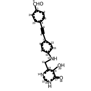 O=Cc1ccc(C#Cc2ccc(NCc3nc[nH]c(=O)c3O)cc2)cc1